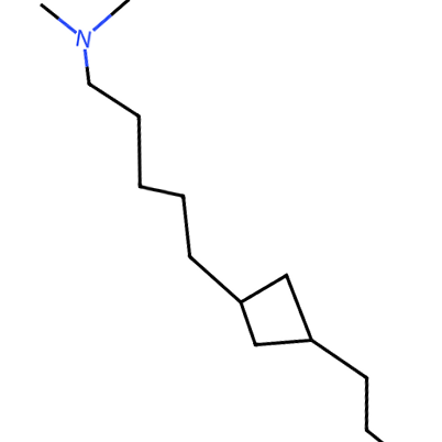 CCCC1CC(CCCCCN(C)C)C1